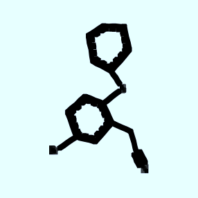 N#CCc1cc(Br)ccc1Sc1ccccc1